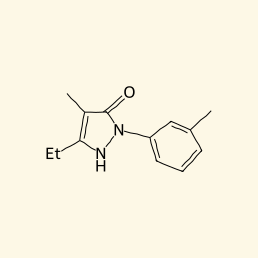 CCc1[nH]n(-c2cccc(C)c2)c(=O)c1C